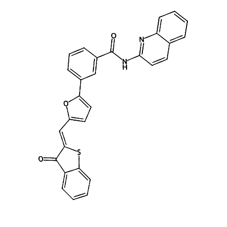 O=C(Nc1ccc2ccccc2n1)c1cccc(-c2ccc(/C=C3\Sc4ccccc4C3=O)o2)c1